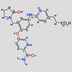 CN(C)C(=O)c1ccc(Oc2ccc(Nc3ccc(CCC(=O)O)cn3)cc2CN2CCCC2=O)cn1